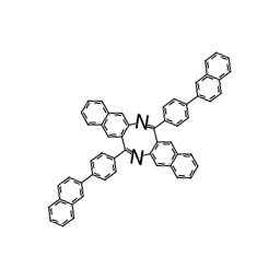 c1ccc2cc(-c3ccc(/C4=N/c5cc6ccccc6cc5/C(c5ccc(-c6ccc7ccccc7c6)cc5)=N\c5cc6ccccc6cc54)cc3)ccc2c1